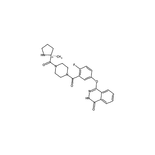 C[C@@]1(C(=O)N2CCN(C(=O)c3cc(Oc4n[nH]c(=O)c5ccccc45)ccc3F)CC2)CCCN1